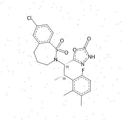 Cc1ccc(F)c([C@H](C)[C@@H](c2n[nH]c(=O)o2)N2CCCc3cc(Cl)ccc3S2(=O)=O)c1C